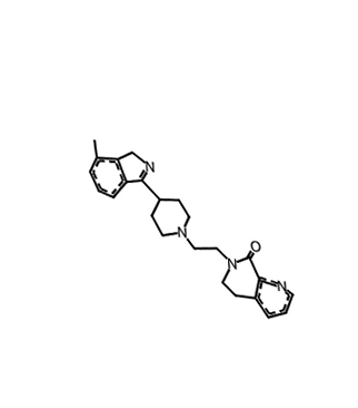 Cc1cccc2c1CN=C2C1CCN(CCN2CCc3cccnc3C2=O)CC1